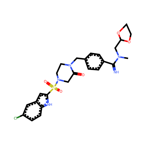 CN(CC1OCCO1)C(=N)c1ccc(CN2CCN(S(=O)(=O)c3cc4cc(Cl)ccc4[nH]3)CC2=O)cc1